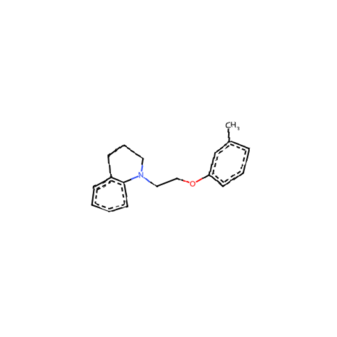 Cc1cccc(OCCN2CCCc3ccccc32)c1